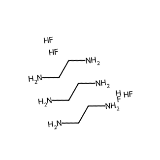 F.F.F.F.NCCN.NCCN.NCCN